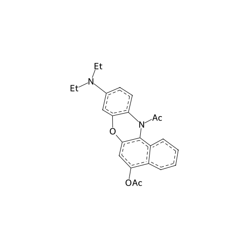 CCN(CC)c1ccc2c(c1)Oc1cc(OC(C)=O)c3ccccc3c1N2C(C)=O